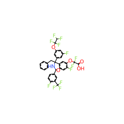 O=C(NC(Cc1ccccc1)(c1cc(F)cc(OC(F)(F)C(F)F)c1)c1ccc(F)c(OC(F)(F)C(=O)O)c1)c1ccc(F)c(C(F)(F)F)c1